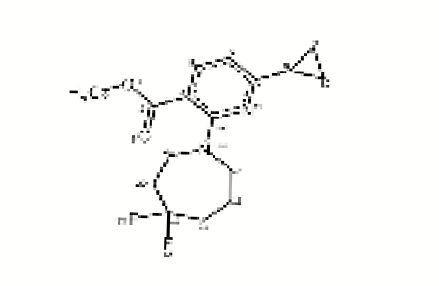 COC(=O)c1ccc(C2CC2)nc1N1CCCC(F)(F)CC1